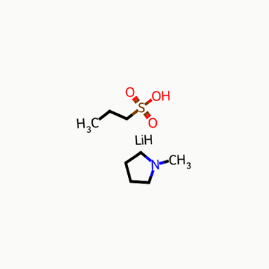 CCCS(=O)(=O)O.CN1CCCC1.[LiH]